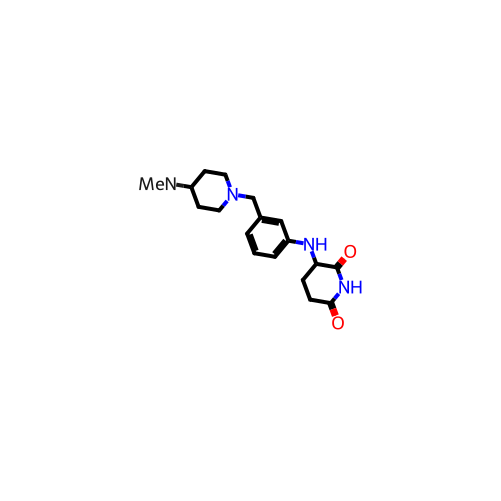 CNC1CCN(Cc2cccc(NC3CCC(=O)NC3=O)c2)CC1